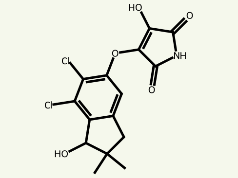 CC1(C)Cc2cc(OC3=C(O)C(=O)NC3=O)c(Cl)c(Cl)c2C1O